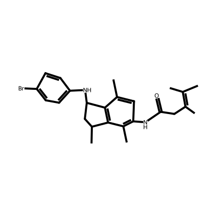 CC(C)=C(C)CC(=O)Nc1cc(C)c2c(c1C)C(C)CC2Nc1ccc(Br)cc1